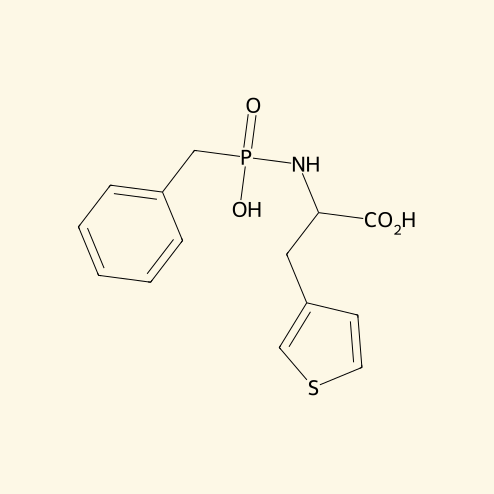 O=C(O)C(Cc1ccsc1)NP(=O)(O)Cc1ccccc1